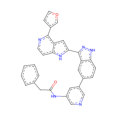 O=C(Cc1ccccc1)Nc1cncc(-c2ccc3[nH]nc(-c4cc5c(-c6ccoc6)nccc5[nH]4)c3c2)c1